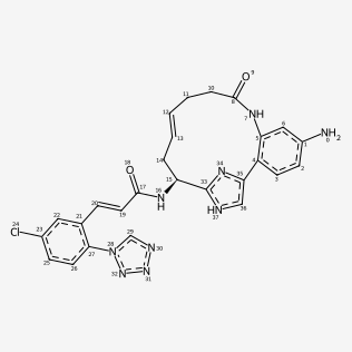 Nc1ccc2c(c1)NC(=O)CC/C=C/C[C@H](NC(=O)/C=C/c1cc(Cl)ccc1-n1cnnn1)c1nc-2c[nH]1